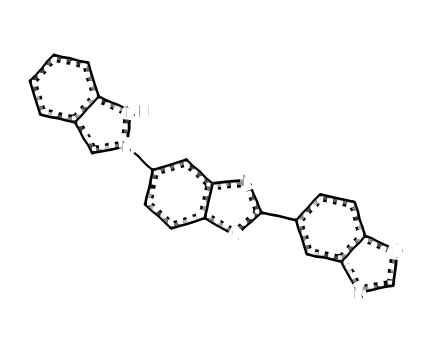 c1ccc2[nH][n+](-c3ccc4sc(-c5ccc6ocnc6c5)nc4c3)cc2c1